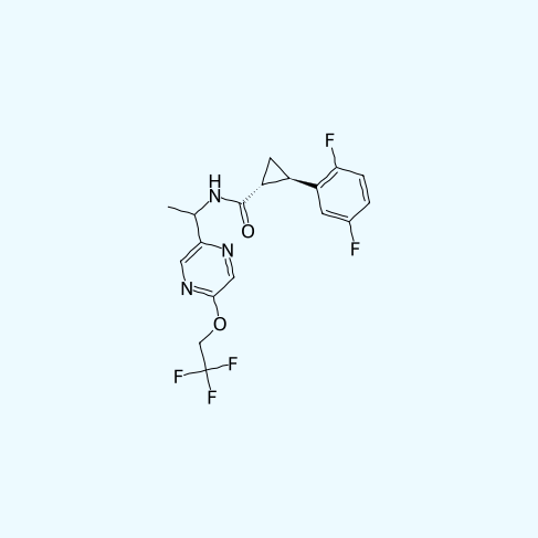 CC(NC(=O)[C@@H]1C[C@H]1c1cc(F)ccc1F)c1cnc(OCC(F)(F)F)cn1